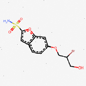 NS(=O)(=O)c1cc2ccc(OCC(Br)CO)cc2o1